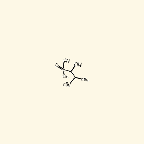 CCCCC(CCCC)C(O)P(=O)(O)O